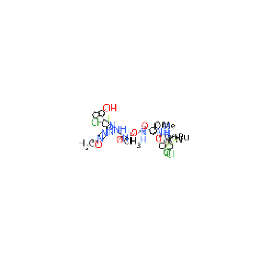 C=CC(=O)N1CCN(c2nc(NCCC(=O)N(C)CCOCCNC(=O)c3ccc(NC(=O)[C@@H]4N[C@@H](CC(C)(C)C)[C@](C#N)(c5ccc(Cl)cc5F)[C@H]4c4cccc(Cl)c4F)c(OC)c3)nc3c(F)c(-c4cc(O)cc5ccccc45)c(Cl)cc23)CC1